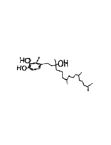 Cc1c(CCC(C)(O)CCCC(C)CCCC(C)CCCC(C)C)ccc(O)c1O